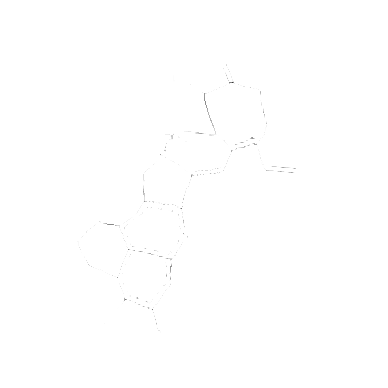 C=CC1=C(/C=C2/c3nc4cc(F)c(C)c5c4c(c3CN2C)CCC5)C(C)C(O)C(=C)CC1